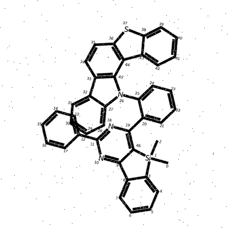 C[Si]1(C)c2ccccc2-c2nc(-c3ccccc3)nc(-c3ccccc3-n3c4ccccc4c4ccc5sc6ccccc6c5c43)c21